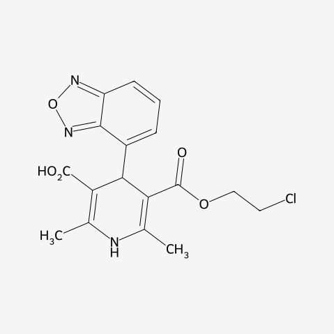 CC1=C(C(=O)O)C(c2cccc3nonc23)C(C(=O)OCCCl)=C(C)N1